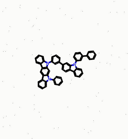 c1ccc(-c2cccc(-n3c4ccccc4c4ccc(-c5cccc(-n6c7ccccc7c7cc8c9ccccc9n(-c9ccccc9)c8cc76)c5)cc43)c2)cc1